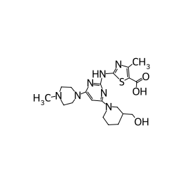 Cc1nc(Nc2nc(N3CCN(C)CC3)cc(N3CCCC(CO)C3)n2)sc1C(=O)O